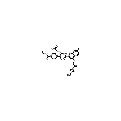 CCOC(=O)N1CCN(C(=O)[C@H](CCC(=O)O)NC(=O)c2cc(OCC(=O)N3CC(O)C3)c3ccc(C)cc3n2)CC1